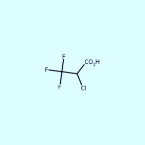 O=C(O)C(Cl)C(F)(F)F